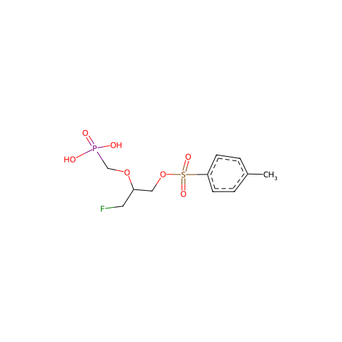 Cc1ccc(S(=O)(=O)OCC(CF)OCP(=O)(O)O)cc1